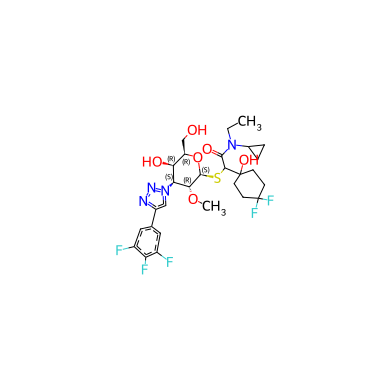 CCN(C(=O)C(S[C@@H]1O[C@H](CO)[C@H](O)[C@H](n2cc(-c3cc(F)c(F)c(F)c3)nn2)[C@H]1OC)C1(O)CCC(F)(F)CC1)C1CC1